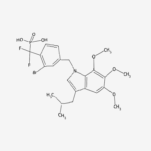 COc1cc2c(CC(C)C)cn(Cc3ccc(C(F)(F)P(=O)(O)O)c(Br)c3)c2c(OC)c1OC